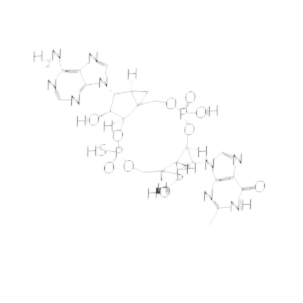 Cc1nc2c(ncn2[C@@H]2S[C@@H]3COP(=O)(S)O[C@H]4[C@@H](O)[C@H](n5cnc6c(N)ncnc65)[C@H]5CC54COP(=O)(O)O[C@@H]2[C@@H]3CO)c(=O)[nH]1